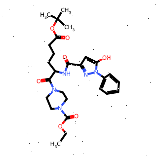 CCOC(=O)N1CCN(C(=O)C(CCCC(=O)OC(C)(C)C)NC(=O)c2cc(O)n(-c3ccccc3)n2)CC1